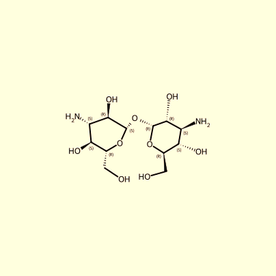 N[C@@H]1[C@@H](O)[C@H](O[C@H]2O[C@H](CO)[C@@H](O)[C@H](N)[C@H]2O)O[C@H](CO)[C@H]1O